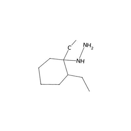 CCC1CCCCC1(CC)NN